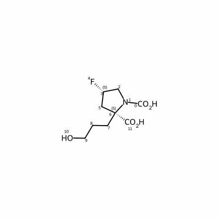 O=C(O)N1C[C@@H](F)C[C@@]1(CCCO)C(=O)O